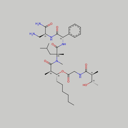 CCCCCC[C@@H](OC(=O)CNC(=O)[C@@H](C)[C@H](C)O)[C@@H](C)C(=O)N(C)[C@](C)(CC(C)C)C(=O)N[C@H](C(=O)N[C@@H](CN)C(N)=O)c1ccccc1